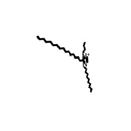 CCCCCCCCCCCCCCCCc1n(CCCCCCCCCCC)cc[n+]1CCCC